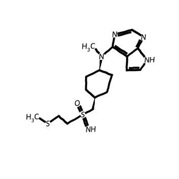 CSCCS(=N)(=O)C[C@H]1CC[C@@H](N(C)c2ncnc3[nH]ccc23)CC1